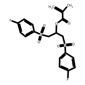 C=C(C)C(=O)OC(CS(=O)(=O)c1ccc(F)cc1)CS(=O)(=O)c1ccc(F)cc1